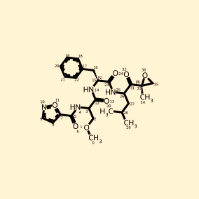 COCC(NC(=O)c1ccno1)C(=O)N[C@@H](Cc1ccccc1)C(=O)NC(CC(C)C)C(=O)[C@@]1(C)CO1